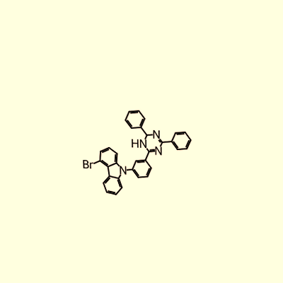 Brc1cccc2c1c1ccccc1n2-c1cccc(C2=NC(c3ccccc3)=NC(c3ccccc3)N2)c1